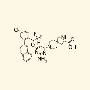 Nc1nc(O[C@H](c2ccc(Cl)cc2-c2ccc3ccccc3c2)C(F)(F)F)cc(N2CCC3(CC2)CNC(C(=O)O)C3)n1